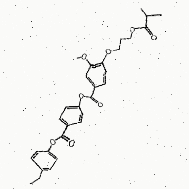 CCc1ccc(OC(=O)c2ccc(OC(=O)c3ccc(OCCCOC(=O)C(C)C)c(OC)c3)cc2)cc1